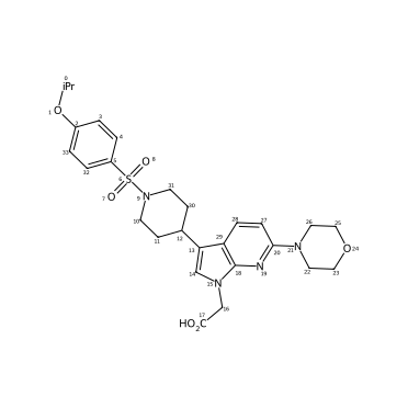 CC(C)Oc1ccc(S(=O)(=O)N2CCC(c3cn(CC(=O)O)c4nc(N5CCOCC5)ccc34)CC2)cc1